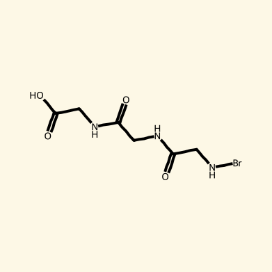 O=C(O)CNC(=O)CNC(=O)CNBr